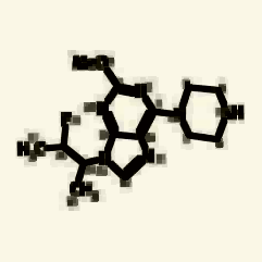 COc1nc(N2CCNCC2)c2ncn(C(C)C(C)F)c2n1